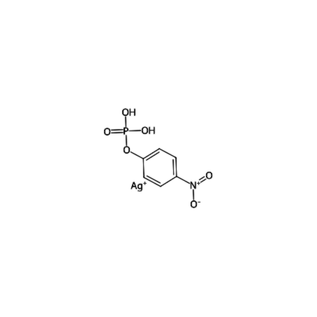 O=[N+]([O-])c1ccc(OP(=O)(O)O)cc1.[Ag+]